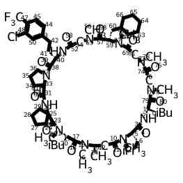 CC[C@H](C)[C@@H]1NC(=O)[C@H](CC(C)C)N(C)C(=O)C[C@@H](C)N(C)C(=O)[C@H]([C@@H](C)CC)N(C)C(=O)C2(CCCC2)NC(=O)[C@@H]2CCCN2C(=O)[C@H](CCc2ccc(C(F)(F)F)c(Cl)c2)NC(=O)CN(C)C(=O)[C@H](CC2CCCCC2)N(C)C(=O)CN(C)C(=O)CN(C)C1=O